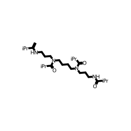 C=C(NCCCN(CCCCN(CCCNC(=O)C(C)C)C(=O)C(C)C)C(=O)C(C)C)C(C)C